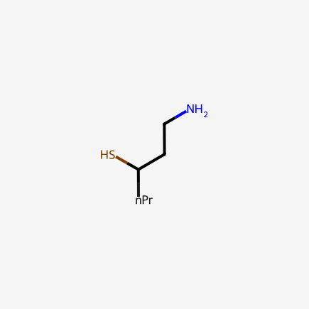 CCCC(S)CCN